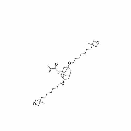 C=C(C)C(=O)OC12CC3CC(OCCCCCCCC4(C)COC4)(CC(OCCCCCCCC4(C)COC4)(C3)C1)C2